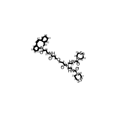 O=C(CCOCCC(=O)N(CCNC(=O)N1CCSSCC1)CCNC(=O)N1CCSSCC1)NCCC(=O)N1Cc2ccccc2C#Cc2ccccc21